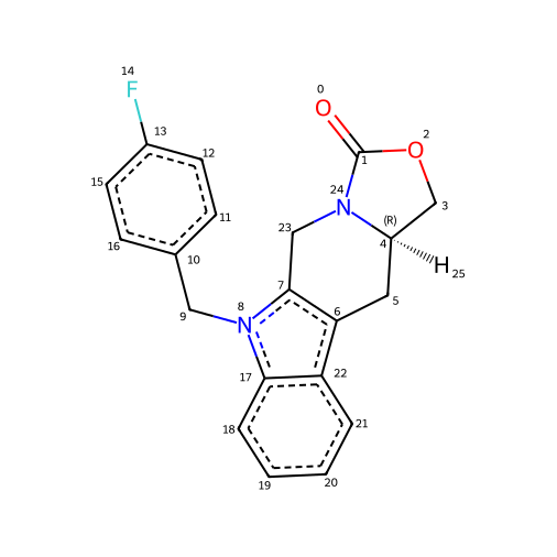 O=C1OC[C@H]2Cc3c(n(Cc4ccc(F)cc4)c4ccccc34)CN12